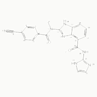 CN(C(=O)c1ccc(C#N)cc1)c1nc2c(C(=O)Nc3ncc[nH]3)cccc2[nH]1